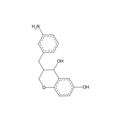 Nc1cccc(CC2COc3ccc(O)cc3C2O)c1